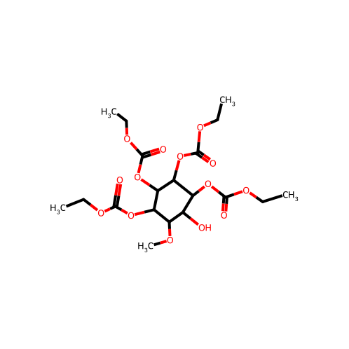 CCOC(=O)OC1C(O)C(OC)C(OC(=O)OCC)C(OC(=O)OCC)C1OC(=O)OCC